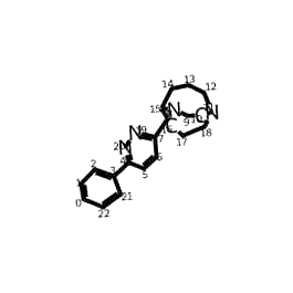 c1ccc(-c2ccc(N3CCN4CCCC3CCC4)nn2)cc1